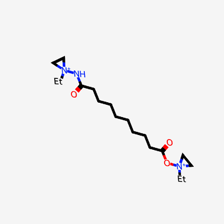 CC[N+]1(NC(=O)CCCCCCCCC(=O)O[N+]2(CC)CC2)CC1